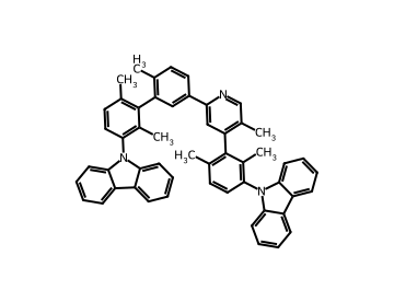 Cc1ccc(-c2cc(-c3c(C)ccc(-n4c5ccccc5c5ccccc54)c3C)c(C)cn2)cc1-c1c(C)ccc(-n2c3ccccc3c3ccccc32)c1C